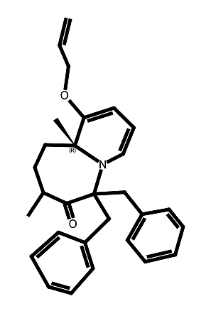 C=CCOC1=CC=CN2C(Cc3ccccc3)(Cc3ccccc3)C(=O)C(C)CC[C@]12C